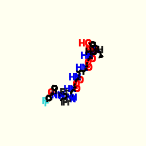 CCC1CC(n2c(CCNC(=O)COCC(=O)NCC(C)CC(C)CNC(=O)COCC(=O)NC3CC[C@@]4(O)[C@H]5Cc6ccc(O)c7c6[C@@]4(CCN5CC4CC4)[C@H]3O7)nnc2C(C)C)CC(C)N1CC[C@H](NC(=O)C1CCC(F)(F)CC1)c1ccccc1